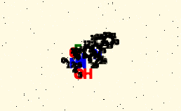 CCn1c(CO)nn(-c2cc3c(cc2F)C(C)=C(c2ccccc2C)CN3C(C)C)c1=O